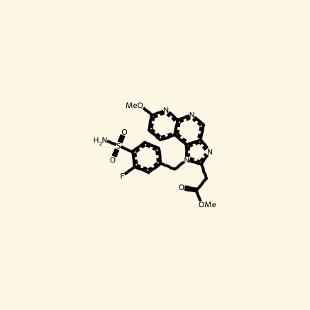 COC(=O)Cc1nc2cnc3nc(OC)ccc3c2n1Cc1ccc(S(N)(=O)=O)c(F)c1